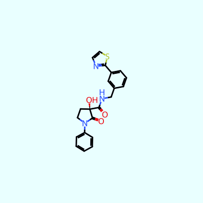 O=C(NCc1cccc(-c2nccs2)c1)[C@@]1(O)CCN(c2ccccc2)C1=O